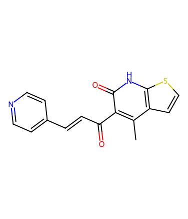 Cc1c(C(=O)C=Cc2ccncc2)c(=O)[nH]c2sccc12